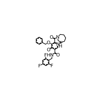 O=C(NCc1c(F)cc(F)cc1F)c1cn2c(c(OCc3ccccc3)c1=O)C(=O)N1CCCC[C@H]2C1